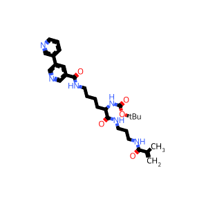 C=C(C)C(=O)NCCCNC(=O)C(CCCCNC(=O)c1cncc(-c2cccnc2)c1)NC(=O)OC(C)(C)C